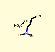 CC(=O)O.CCN(CC)CCCC#N